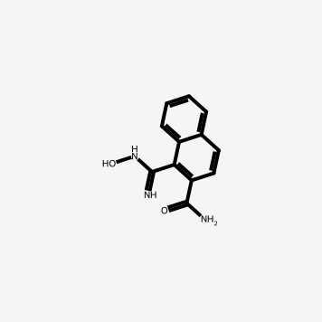 N=C(NO)c1c(C(N)=O)ccc2ccccc12